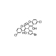 O=c1oc2ccc(Cl)cc2c(O)c1C(c1cc(Br)cs1)c1c(O)c2cc(Cl)ccc2oc1=O